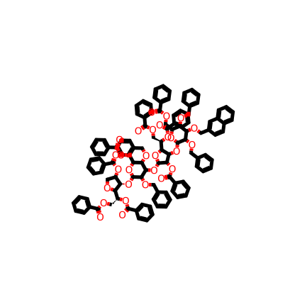 O=C(OCC1OC(OC2C(OC(=O)c3ccccc3)C(OC3C(OCc4ccccc4)C(COC(=O)c4ccccc4)OC(O[C@H]4C(OC(=O)c5ccccc5)COC4[C@@H](COC(=O)c4ccccc4)OC(=O)c4ccccc4)C3OCc3ccccc3)OC2[C@@H](COC(=O)c2ccccc2)OC(=O)c2ccccc2)C(OCc2ccccc2)C(OCc2ccc3ccccc3c2)C1OCc1ccccc1)c1ccccc1